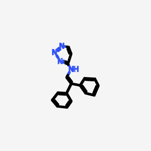 C(Nc1ccnnn1)=C(c1ccccc1)c1ccccc1